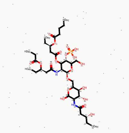 CCCCCCCCCCCCCC(=O)O[C@H](CCCCCCCCCCC)CC(=O)OC1[C@H](OP(=O)(O)O)C(CO)O[C@@H](OCC2OC(O)C(NC(=O)C[C@H](O)CCCCCCCCCCC)[C@@H](O)[C@@H]2O)[C@H]1NC(=O)C[C@@H](CCCCCCCCCCC)OC(=O)CCCCCCCCCCC